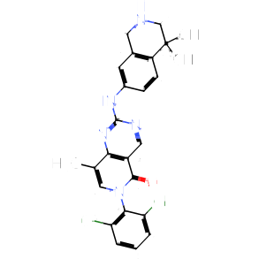 Cc1cn(-c2c(Cl)cccc2Cl)c(=O)c2cnc(Nc3ccc4c(c3)CNCC4(C)C)nc12